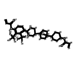 C=CC(=O)Oc1ccc(C2OCC(C34CCC(C5CCC(OC(=O)C=C)CC5)(CC3)CC4)CO2)c(C(F)(F)F)c1C(F)(F)F